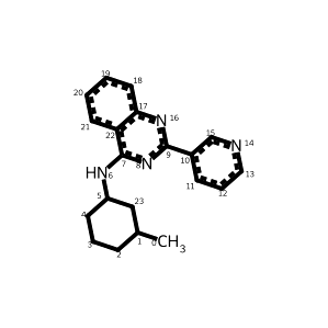 CC1CCCC(Nc2nc(-c3cccnc3)nc3ccccc23)C1